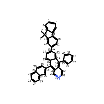 CC1(C)c2ccccc2-c2ccc(-c3ccc4c(-c5ccc6ccccc6c5)c5cnccc5c(-c5ccccc5)c4c3)cc21